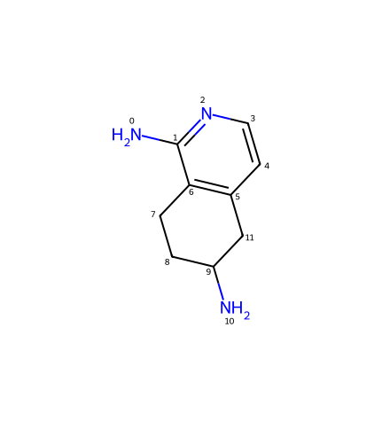 Nc1nccc2c1CCC(N)C2